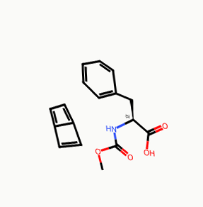 COC(=O)N[C@@H](Cc1ccccc1)C(=O)O.c1cc2ccc1-2